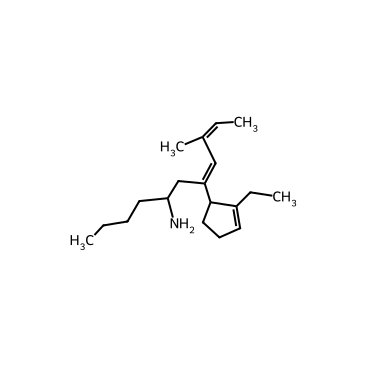 C/C=C(C)\C=C(/CC(N)CCCC)C1CCC=C1CC